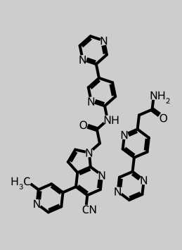 Cc1cc(-c2c(C#N)cnc3c2ccn3CC(=O)Nc2ccc(-c3cnccn3)cn2)ccn1.NC(=O)Cc1ccc(-c2cnccn2)cn1